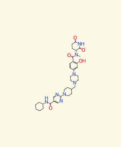 CN(C(=O)c1ccc(N2CCN(CC3CCN(c4ncc(C(=O)NC5CCCCC5)cn4)CC3)CC2)cc1O)C1CCC(=O)NC1=O